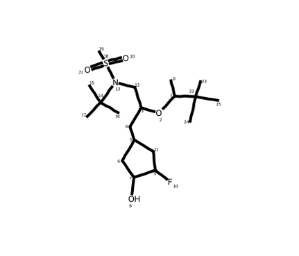 CC(OC(CC1CC(O)C(F)C1)CN(C(C)(C)C)S(C)(=O)=O)C(C)(C)C